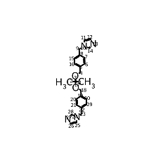 CC(C)(OCc1ccc(Cn2ccnc2)cc1)OCc1ccc(Cn2ccnc2)cc1